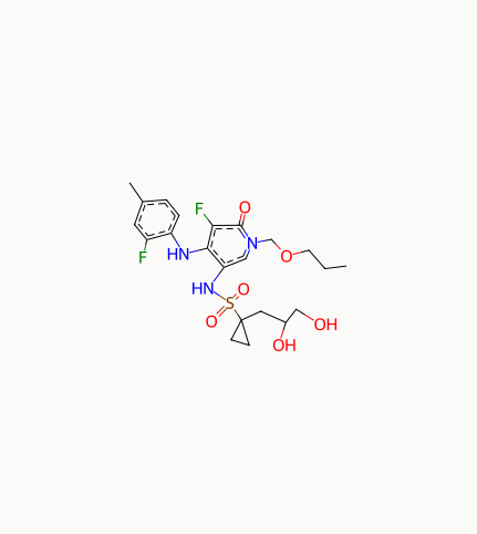 CCCOCn1cc(NS(=O)(=O)C2(CC(O)CO)CC2)c(Nc2ccc(C)cc2F)c(F)c1=O